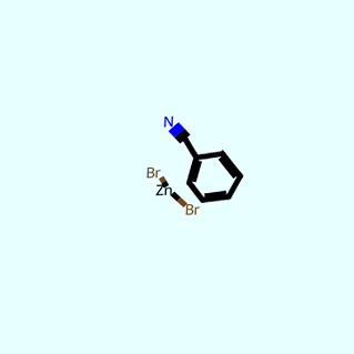 N#Cc1[c]cccc1.[Br][Zn][Br]